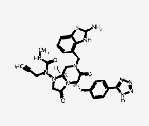 C#CCN(C(=O)NC)N1CC(=O)N2[C@@H](Cc3ccc(-c4nnn[nH]4)cc3)C(=O)N(Cc3cccc4c3NC(N)S4)C[C@@H]21